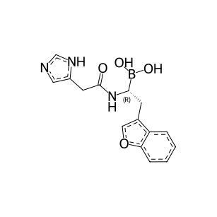 O=C(Cc1cnc[nH]1)N[C@@H](Cc1coc2ccccc12)B(O)O